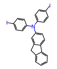 Ic1ccc(N(c2ccc(I)cc2)c2ccc3c(c2)Cc2ccccc2-3)cc1